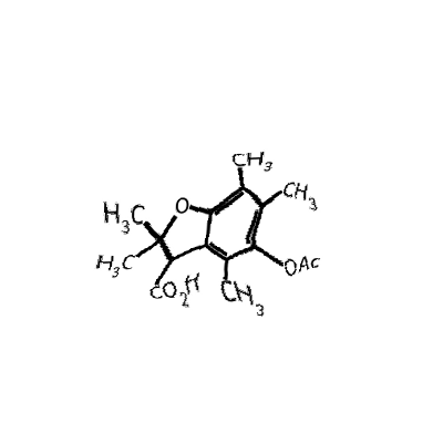 CC(=O)Oc1c(C)c(C)c2c(c1C)C(C(=O)O)C(C)(C)O2